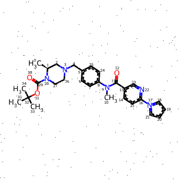 C[C@H]1CN(Cc2ccc(N(C)C(=O)c3ccc(-n4cccc4)nc3)cc2)CCN1C(=O)OC(C)(C)C